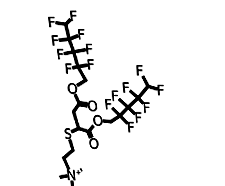 C[N+](C)(C)CCSC(CC(=O)OCC(F)(F)C(F)(F)C(F)(F)C(F)F)C(=O)OCC(F)(F)C(F)(F)C(F)(F)C(F)F